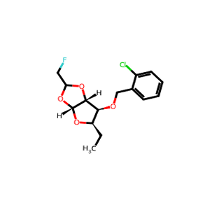 CC[C@H]1O[C@@H]2OC(CF)O[C@@H]2[C@H]1OCc1ccccc1Cl